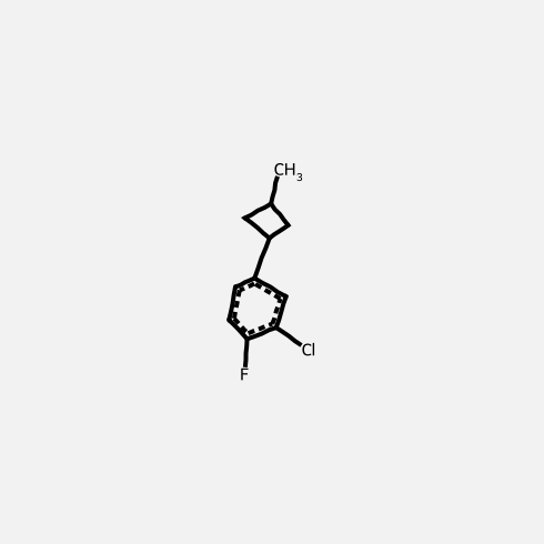 CC1CC(c2ccc(F)c(Cl)c2)C1